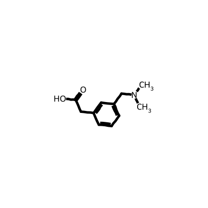 CN(C)Cc1cccc(CC(=O)O)c1